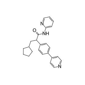 O=C(Nc1ccccn1)C(CC1CCCC1)c1ccc(-c2ccncc2)cc1